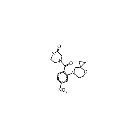 O=C1CN(C(=O)c2ccc([N+](=O)[O-])cc2N2CCOC3(CC3)C2)CCS1